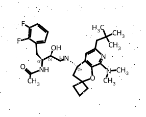 CC(=O)N[C@@H](Cc1cccc(F)c1F)[C@@H](O)CN[C@H]1CC2(CCC2)Oc2c1cc(CC(C)(C)C)nc2N(C)C